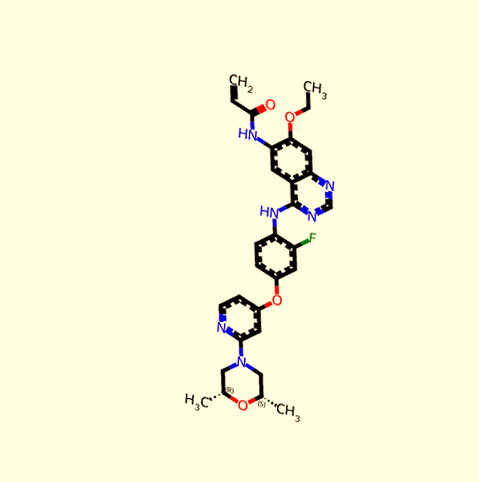 C=CC(=O)Nc1cc2c(Nc3ccc(Oc4ccnc(N5C[C@@H](C)O[C@@H](C)C5)c4)cc3F)ncnc2cc1OCC